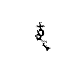 FC(F)(F)c1ccc2c(n1)OC[C@@H]2NCC1CC1